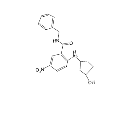 O=C(NCc1ccccc1)c1cc([N+](=O)[O-])ccc1[AsH]C1CCC(O)C1